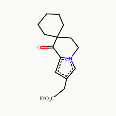 CCOC(=O)Cc1cc2n(c1)CCC1(CCCCC1)C2=O